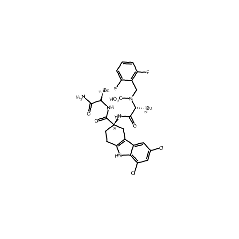 CC[C@H](C)C(NC(=O)[C@@]1(NC(=O)C([C@@H](C)CC)N(Cc2c(F)cccc2F)C(=O)O)CCc2[nH]c3c(Cl)cc(Cl)cc3c2C1)C(N)=O